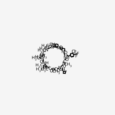 CC[C@H](C)[C@@H]1NC(=O)[C@H](CC(C)C)N(C)C(=O)C[C@@H](C)N(C)C(=O)[C@H](C(C)C)N(C)C(=O)C2(CCCC2)NC(=O)[C@@H]2CCCN2C(=O)[C@H](CCc2ccc(C(F)(F)F)c(Cl)c2)NC(=O)CN(C)C(=O)[C@H](CCC2CCC2)N(C)C(=O)CN(C)C(=O)CN(C)C1=O